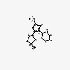 Nc1cc(C2C[C@@H](O)CO2)n(C2CCCCO2)n1